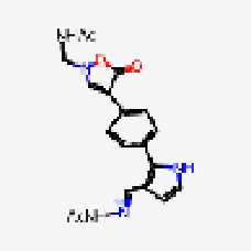 CC(=O)NCn1cc(-c2ccc(-c3[nH]ccc3/C=N/NC(C)=O)cc2)c(=O)o1